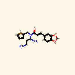 NCCC(N)N(Cc1cccs1)C(=O)/C=C/c1ccc2c(c1)OCO2